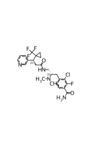 CN(C)[C@H](CNC(=O)C[C@@H](c1cccnc1)C1(C(F)(F)F)CC1)Cc1ccc(C(N)=O)c(F)c1Cl